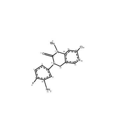 CC(C)(C)N1C(=O)N(c2ccc(F)c(N)c2)Cc2cnc(Cl)cc21